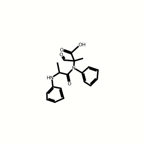 CC(Nc1ccccc1)C(=O)N(c1ccccc1)C(C)(C=O)C(=O)O